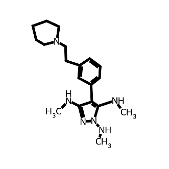 CNc1nn(NC)c(NC)c1-c1cccc(CCN2CCCCC2)c1